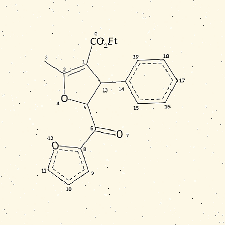 CCOC(=O)C1=C(C)OC(C(=O)c2ccco2)C1c1ccccc1